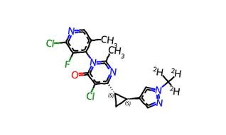 [2H]C([2H])([2H])n1cc([C@H]2C[C@@H]2c2nc(C)n(-c3c(C)cnc(Cl)c3F)c(=O)c2Cl)cn1